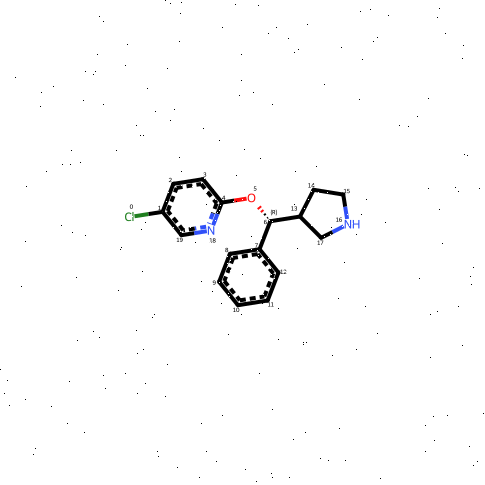 Clc1ccc(O[C@@H](c2ccccc2)C2CCNC2)nc1